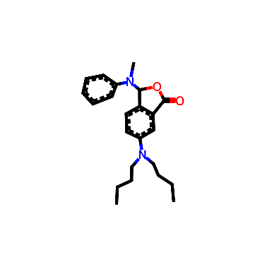 CCCCN(CCCC)c1ccc2c(c1)C(=O)OC2N(C)c1ccccc1